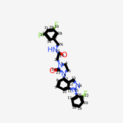 O=C(CN1CCN(c2cccc3c2cnn3-c2ccccc2F)C1=O)NCc1cc(F)cc(F)c1